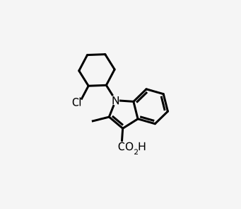 Cc1c(C(=O)O)c2ccccc2n1C1CCCCC1Cl